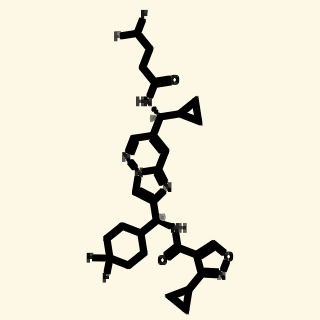 O=C(CCC(F)F)N[C@@H](c1cnn2cc([C@@H](NC(=O)c3conc3C3CC3)C3CCC(F)(F)CC3)nc2c1)C1CC1